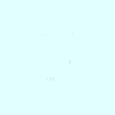 CC[C@@H](F)C([O])=O